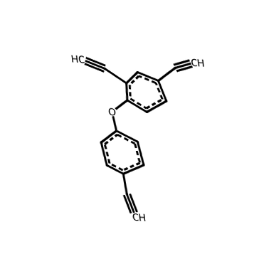 C#Cc1ccc(Oc2ccc(C#C)cc2C#C)cc1